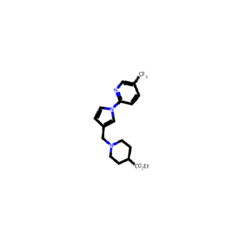 CCOC(=O)C1CCN(Cc2ccn(-c3ccc(C(F)(F)F)cn3)c2)CC1